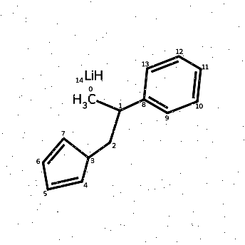 CC(CC1C=CC=C1)c1ccccc1.[LiH]